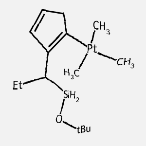 CCC([SiH2]OC(C)(C)C)C1=[C]([Pt]([CH3])([CH3])[CH3])CC=C1